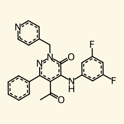 CC(=O)c1c(-c2ccccc2)nn(Cc2ccncc2)c(=O)c1Nc1cc(F)cc(F)c1